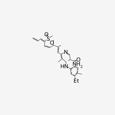 C=C/C=C(\C=C/C(C)/C(C)=C/C(/N=C\C(C)C(N)=O)=C(\C)CNc1ccc(C)c(CC)c1)S(C)(=O)=O